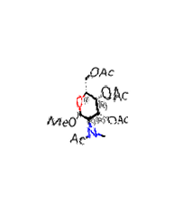 CO[C@@H]1O[C@H](COC(C)=O)[C@H](OC(C)=O)[C@H](OC(C)=O)[C@H]1N(C)C(C)=O